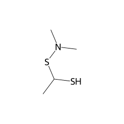 CC(S)SN(C)C